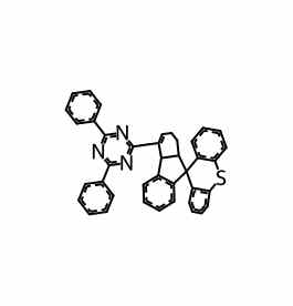 C1=C(c2nc(-c3ccccc3)nc(-c3ccccc3)n2)C2c3ccccc3C3(c4ccccc4Sc4ccccc43)C2CC1